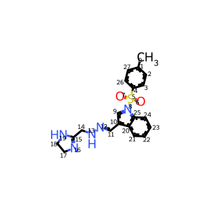 Cc1ccc(S(=O)(=O)n2cc(C=NNCC3=NCCN3)c3ccccc32)cc1